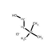 C[N+](C)(C)[13CH2][13CH2]O.[Cl-]